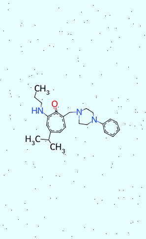 CCCNc1cc(C(C)C)ccc(CN2CCN(c3ccccc3)CC2)c1=O